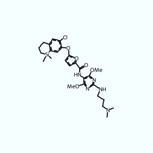 COc1nc(NCCCN(C)C)nc(OC)c1NC(=O)c1ccc(Oc2cc3c(cc2Cl)CCC[Si]3(C)C)o1